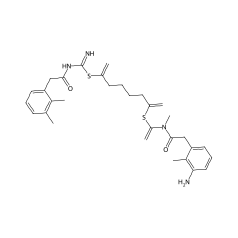 C=C(CCCCC(=C)SC(=N)NC(=O)Cc1cccc(C)c1C)SC(=C)N(C)C(=O)Cc1cccc(N)c1C